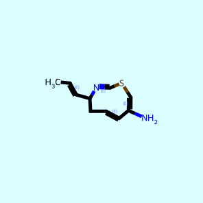 C/C=C/C1C/C=C/C(N)=C\S/C=N/1